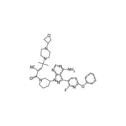 CC(C)(C=C(C#N)C(=O)N1CCCC(n2nc(-c3ccc(Oc4ccccc4)nc3F)c3c(N)ncnc32)C1)N1CCN(C2COC2)CC1